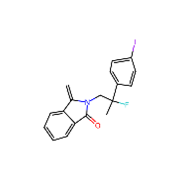 C=C1c2ccccc2C(=O)N1CC(C)(F)c1ccc(I)cc1